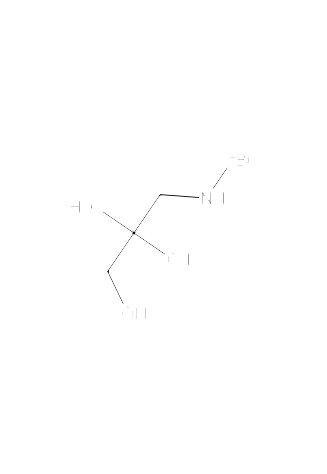 CC(C)(CO)CNC(C)(C)C